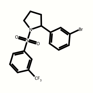 O=S(=O)(c1cccc(C(F)(F)F)c1)N1CCCC1c1cccc(Br)c1